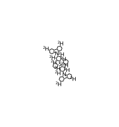 [2H]c1ccc2c(c1)c1cc([2H])ccc1n2-c1c([2H])c([2H])c([Si](c2ccccc2)(c2ccccc2)c2c([2H])c([2H])c(-n3c4ccc([2H])cc4c4cc([2H])ccc43)c([2H])c2[2H])c([2H])c1[2H]